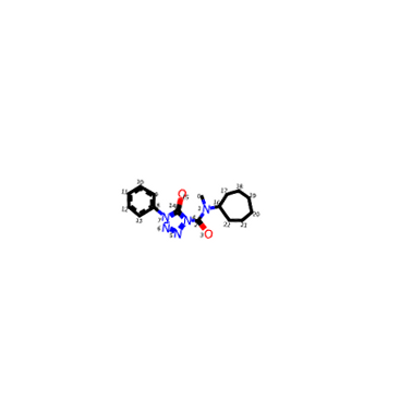 CN(C(=O)n1nnn(-c2ccccc2)c1=O)C1CCCCCC1